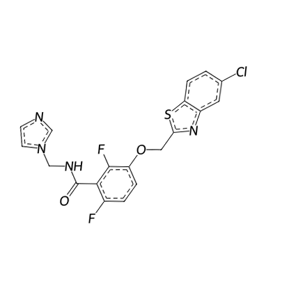 O=C(NCn1ccnc1)c1c(F)ccc(OCc2nc3cc(Cl)ccc3s2)c1F